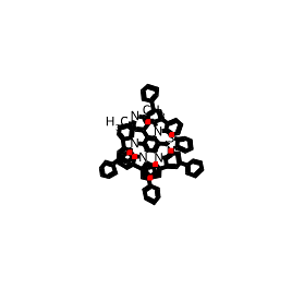 Cc1cc(-c2c(-n3c4ccccc4c4cc(-c5ccccc5)ccc43)c(-c3nc4ccccc4s3)c(-n3c4ccccc4c4cc(-c5ccccc5)ccc43)c(-n3c4ccccc4c4cc(-c5ccccc5)ccc43)c2-n2c3ccccc3c3cc(-c4ccccc4)ccc32)cc(C)n1